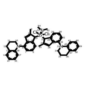 CC1=Cc2c(cccc2N2CCCc3ccccc32)[CH]1[Zr]([Cl])([Cl])([CH]1C(C)=Cc2c1cccc2N1CCCc2ccccc21)=[Si](C)C